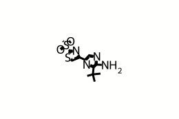 CC(C)(C)c1nc(-c2csc(S(C)(=O)=O)n2)cnc1N